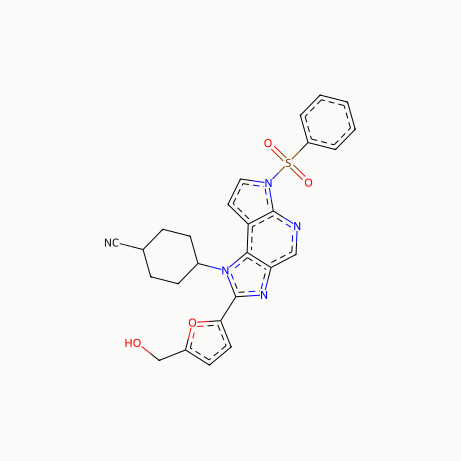 N#CC1CCC(n2c(-c3ccc(CO)o3)nc3cnc4c(ccn4S(=O)(=O)c4ccccc4)c32)CC1